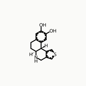 Oc1cc2c(cc1O)[C@@H]1c3cscc3CN[C@H]1CC2